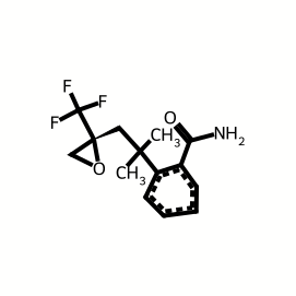 CC(C)(C[C@]1(C(F)(F)F)CO1)c1ccccc1C(N)=O